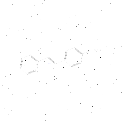 COc1ccc(/C=C/c2ccccn2)cc1